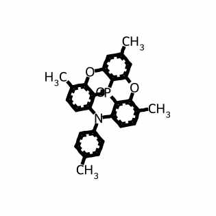 Cc1ccc(N2c3ccc(C)c4c3P3(=O)c5c(cc(C)cc5Oc5c(C)ccc2c53)O4)cc1